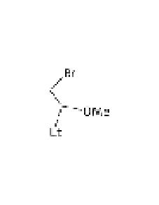 CCC(CBr)OC